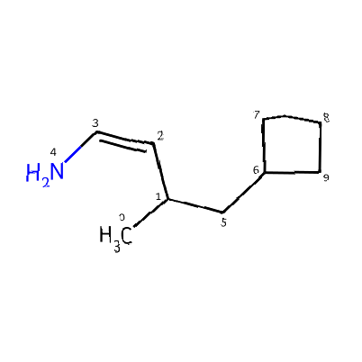 CC(/C=C\N)CC1CCC1